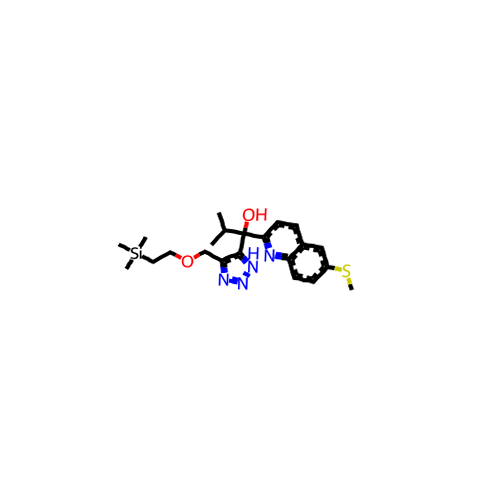 CSc1ccc2nc(C(O)(c3[nH]nnc3COCC[Si](C)(C)C)C(C)C)ccc2c1